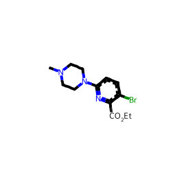 CCOC(=O)c1nc(N2CCN(C)CC2)ccc1Br